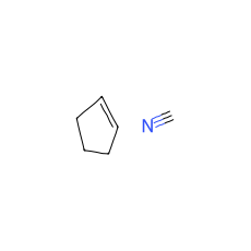 C#N.C1=CCCC1